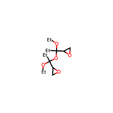 CCOC(CC)(OC(CC)(OCC)C1CO1)C1CO1